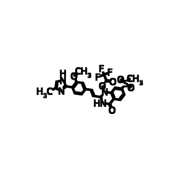 COc1cc(C=CC2NC(=O)c3ccc(S(C)(=O)=O)cc3N2OC(=O)C(F)(F)F)ccc1-c1nc(C)c[nH]1